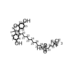 CC1(c2ccc(O)cc2)COc2cc(O)ccc2C1CCCCCCCCCCNS(=O)(=O)CCCC(F)(F)C(F)(F)F